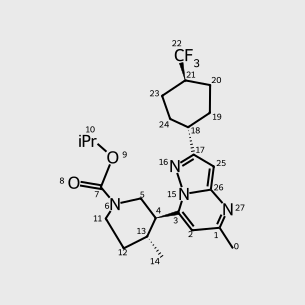 Cc1cc([C@@H]2CN(C(=O)OC(C)C)CC[C@H]2C)n2nc([C@H]3CC[C@H](C(F)(F)F)CC3)cc2n1